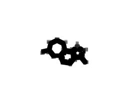 Cc1noc2c3c(ccc12)CC(C)CCC3